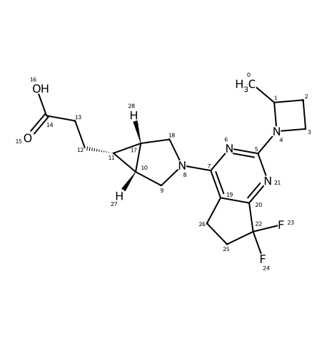 CC1CCN1c1nc(N2C[C@@H]3[C@H](CCC(=O)O)[C@@H]3C2)c2c(n1)C(F)(F)CC2